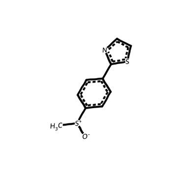 C[S+]([O-])c1ccc(-c2nccs2)cc1